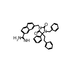 N=C(N)c1ccc2ccc(CN3C(=O)N(Cc4ccccc4)C(CCc4ccccc4)(c4ccccc4)C3=O)cc2c1